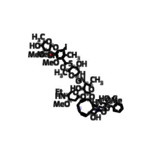 CCN[C@H]1CO[C@@H](O[C@H]2[C@H](O[C@H]3C#C/C=C\C#C[C@]4(O)CC(=O)C(NC(=O)OC)=C3/C4=C\CSSc3ccccc3C(=O)O)O[C@H](C)[C@@H](NO[C@H]3C[C@H](O)[C@H](SC(=O)c4c(C)c(I)c(O[C@@H]5O[C@@H](C)[C@H](O)[C@@H](OC)[C@H]5O)c(OC)c4OC)[C@@H](C)O3)[C@@H]2O)C[C@@H]1OC